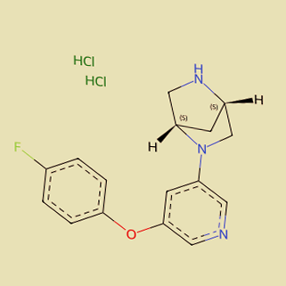 Cl.Cl.Fc1ccc(Oc2cncc(N3C[C@@H]4C[C@H]3CN4)c2)cc1